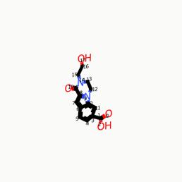 O=C(O)c1ccc2cc3n(c2c1)CCN(CCO)C3=O